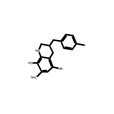 CCCc1cc(C=O)c(O)c2c1CC(Cc1ccc(F)cc1)CN2